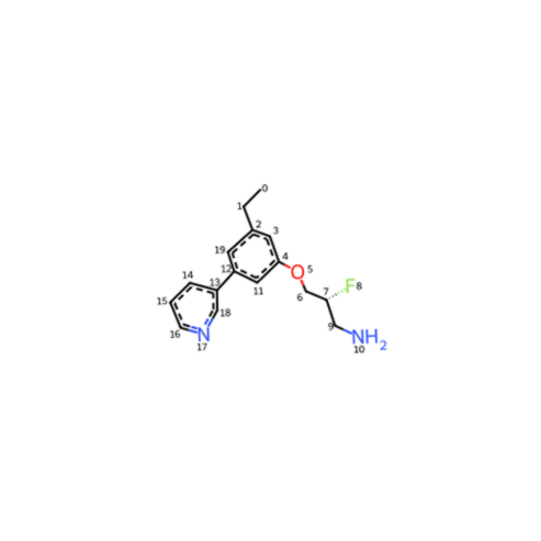 CCc1cc(OC[C@H](F)CN)cc(-c2cccnc2)c1